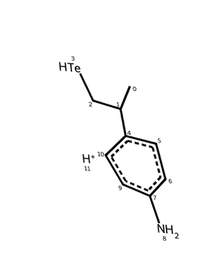 CC(C[TeH])c1ccc(N)cc1.[H+]